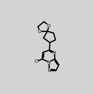 Clc1cc(C2CCC3(C2)OCCO3)nc2ccnn12